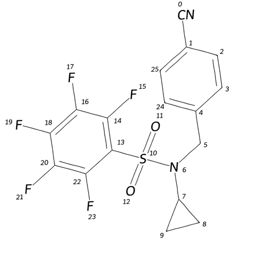 N#Cc1ccc(CN(C2CC2)S(=O)(=O)c2c(F)c(F)c(F)c(F)c2F)cc1